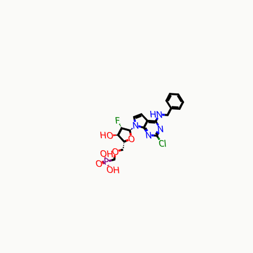 O=P(O)(O)COC[C@H]1O[C@@H](n2ccc3c(NCc4ccccc4)nc(Cl)nc32)[C@@H](F)[C@@H]1O